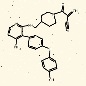 C=C(C#N)C(=O)N1CCC(CNc2ncnc(N)c2-c2ccc(Oc3ccc(C)cc3)cc2)CC1